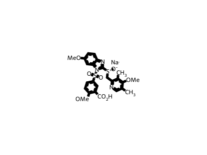 COc1ccc2nc([S+]([O-])Cc3ncc(C)c(OC)c3C)n(S(=O)(=O)c3ccc(OC)c(C(=O)O)c3)c2c1.[Na]